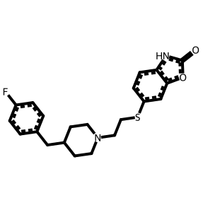 O=c1[nH]c2ccc(SCCN3CCC(Cc4ccc(F)cc4)CC3)cc2o1